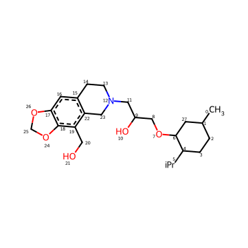 CC1CCC(C(C)C)C(OCC(O)CN2CCc3cc4c(c(CO)c3C2)OCO4)C1